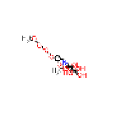 C=CC(=O)N(Cc1ccc(OCCOCCOCCOC)cc1)C[C@H](O)[C@@H](O)[C@H](O)[C@H](O)CO